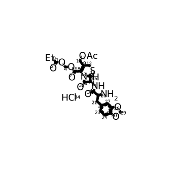 CCC(=O)OCOC(=O)C1=C(COC(C)=O)CS[C@@H]2[C@H](NC(=O)C(N)Cc3ccc4c(c3)OCO4)C(=O)N12.Cl